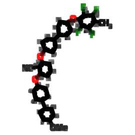 COc1ccc(-c2ccc(Oc3cccc(Oc4ccc(-c5ccc(Oc6c(F)c(F)c(C)c(F)c6F)cc5)cc4)c3C#N)cc2)cc1